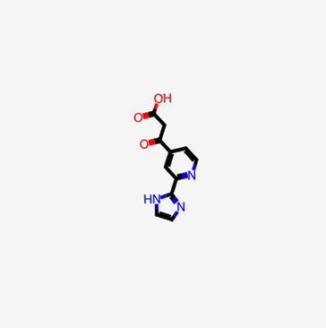 O=C(O)CC(=O)c1ccnc(-c2ncc[nH]2)c1